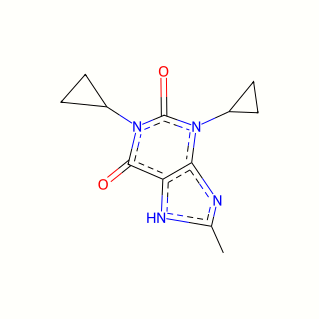 Cc1nc2c([nH]1)c(=O)n(C1CC1)c(=O)n2C1CC1